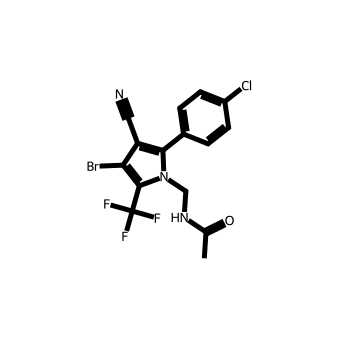 CC(=O)NCn1c(-c2ccc(Cl)cc2)c(C#N)c(Br)c1C(F)(F)F